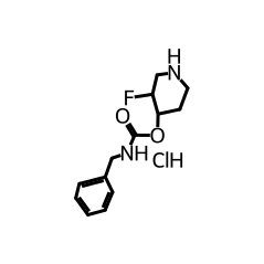 Cl.O=C(NCc1ccccc1)OC1CCNCC1F